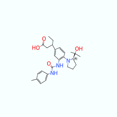 CCC(CC(=O)O)c1ccc(N2CCC[C@@H]2C(C)(C)O)c(NC(=O)Nc2ccc(C)cc2)c1